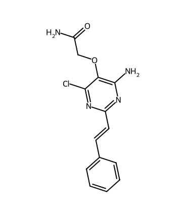 NC(=O)COc1c(N)nc(C=Cc2ccccc2)nc1Cl